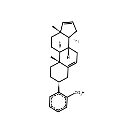 C[C@@]12C=CC[C@H]1[C@@H]1CC=C3C[C@@H](c4ccccc4C(=O)O)CC[C@]3(C)[C@H]1CC2